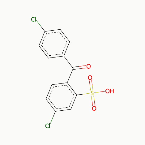 O=C(c1ccc(Cl)cc1)c1ccc(Cl)cc1S(=O)(=O)O